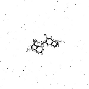 Fc1cc2[nH]ncc2cc1Nc1ncnc2[nH]cc(Br)c12